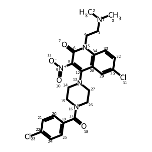 CN(C)CCn1c(=O)c([N+](=O)[O-])c(N2CCN(C(=O)c3ccc(Cl)cc3)CC2)c2cc(Cl)ccc21